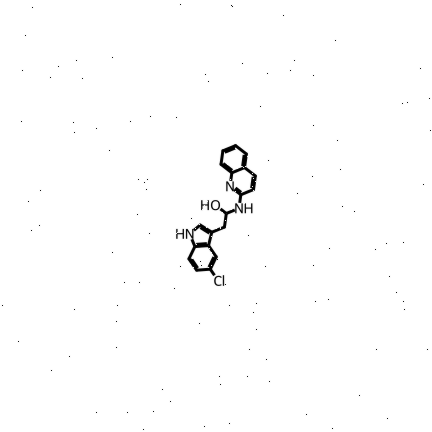 OC(Cc1c[nH]c2ccc(Cl)cc12)Nc1ccc2ccccc2n1